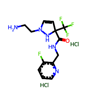 Cl.Cl.NCCN1C=CC(C(=O)NCc2ncccc2F)(C(F)(F)F)N1